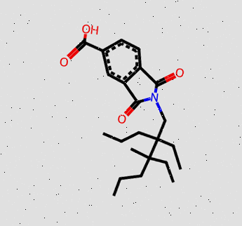 CCCC(C)(CC)C(CC)(CCC)CN1C(=O)c2ccc(C(=O)O)cc2C1=O